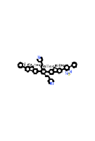 CCCCCCC1(CCCCCC)c2cc(-c3ccccc3)ccc2-c2ccc(-c3cc(/C=C/c4ccncc4)c(-c4ccc5c(c4)C(CCCCCC)(CCCCCC)c4cc(-c6ccc(-c7ccccc7)c7nsnc67)ccc4-5)cc3/C=C/c3ccncc3)cc21